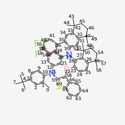 Cc1cc(C(C)(C)C)ccc1N1c2cc(C(F)(F)F)cc3c2B(c2ccc4c(c2N3c2cc3c(cc2-c2ccccc2)C(C)(C)CCC3(C)C)C(C)(C)CCC4(C)C)c2c1sc1ccccc21